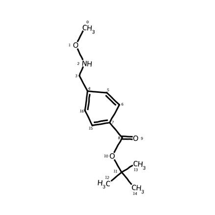 CONCc1ccc(C(=O)OC(C)(C)C)cc1